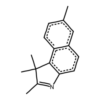 CC1=Nc2ccc3cc(C)ccc3c2C1(C)C